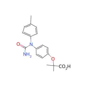 Cc1ccc(N(C(N)=O)c2ccc(OC(C)(C)C(=O)O)cc2)cc1